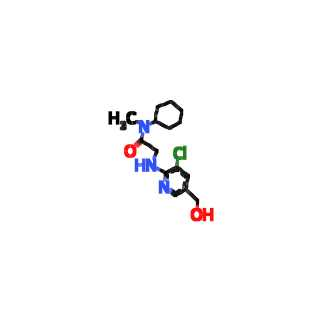 CN(C(=O)CNc1ncc(CO)cc1Cl)C1CCCCC1